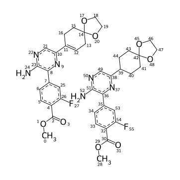 COC(=O)c1ccc(-c2nc(C3=CCC4(CC3)OCCO4)cnc2N)cc1F.COC(=O)c1ccc(-c2nc(C3CCC4(CC3)OCCO4)cnc2N)cc1F